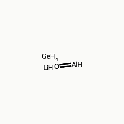 [GeH4].[LiH].[O]=[AlH]